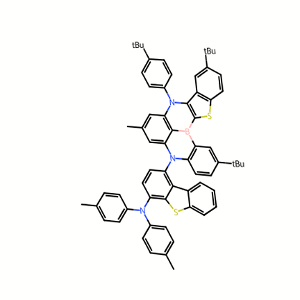 Cc1ccc(N(c2ccc(C)cc2)c2ccc(N3c4ccc(C(C)(C)C)cc4B4c5sc6ccc(C(C)(C)C)cc6c5N(c5ccc(C(C)(C)C)cc5)c5cc(C)cc3c54)c3c2sc2ccccc23)cc1